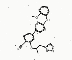 COc1ccccc1Nc1ncc(-c2ccc(C#N)c(OC(C)Cn3cnnn3)c2)cn1